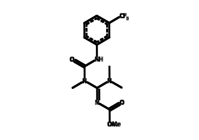 COC(=O)N=C(N(C)C)N(C)C(=O)Nc1cccc(C(F)(F)F)c1